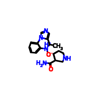 CC1c2cncn2-c2ccccc2[NH+]1[O-].NC(=O)C1CCCNC1